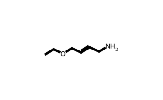 CCOCC=CCN